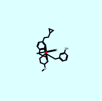 COC1CCC2(CC1)Cc1ccc(CCC3CC3)cc1C21NC(=S)N(Cc2cccc(S)c2)C1=O